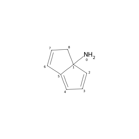 NC12C=CC=C1C=CC2